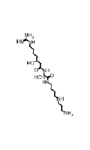 N=C(N)NCCCCC(O)CC(=O)N[C@@H](O)C(=O)NCCCCNCCCN